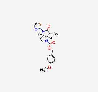 COc1ccc(COC(=O)N2CC[C@H]3[C@H]2[C@H](C)C(=O)N3c2nccs2)cc1